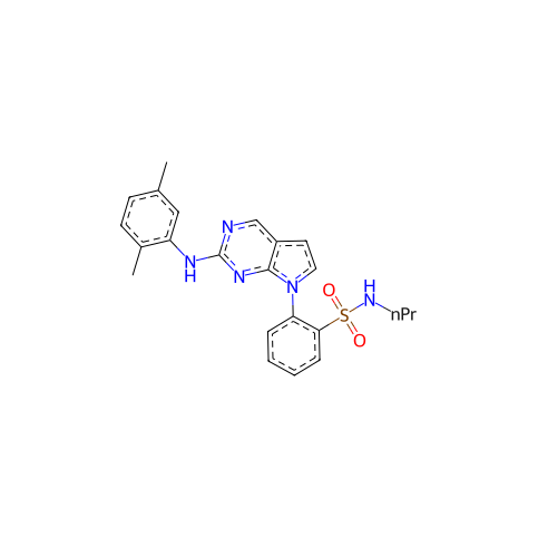 CCCNS(=O)(=O)c1ccccc1-n1ccc2cnc(Nc3cc(C)ccc3C)nc21